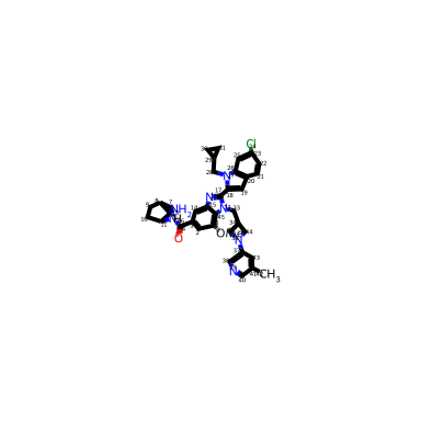 COc1cc(C(=O)N2CC3CCC2[C@@H]3N)cc2nc(-c3cc4ccc(Cl)cc4n3CC3CC3)n(CC3CN(c4cncc(C)c4)C3)c12